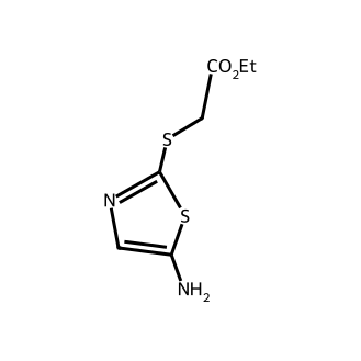 CCOC(=O)CSc1ncc(N)s1